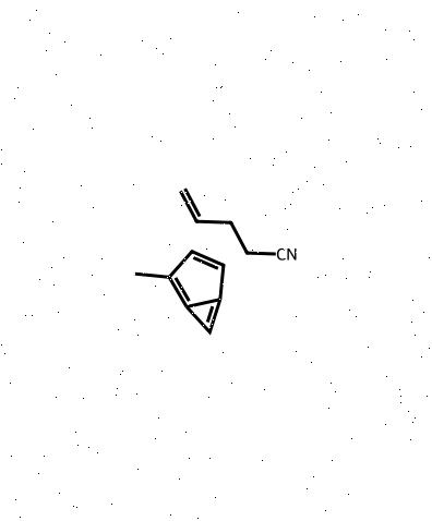 C=CCCC#N.Cc1ccc2cc1-2